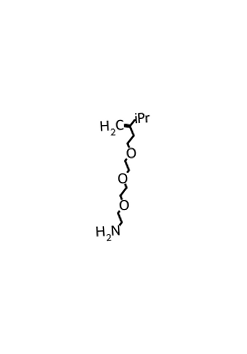 C=C(CCOCCOCCOCCN)C(C)C